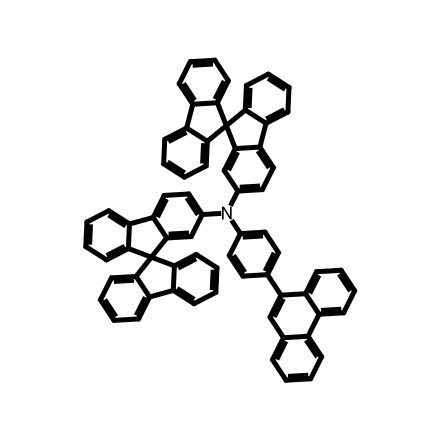 c1ccc2c(c1)-c1ccccc1C21c2ccccc2-c2ccc(N(c3ccc(-c4cc5ccccc5c5ccccc45)cc3)c3ccc4c(c3)C3(c5ccccc5-c5ccccc53)c3ccccc3-4)cc21